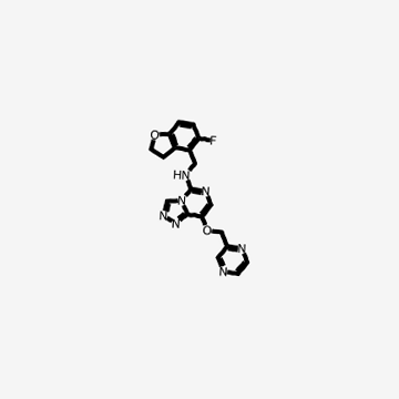 Fc1ccc2c(c1CNc1ncc(OCc3cnccn3)c3nncn13)CCO2